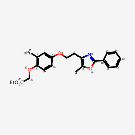 CCCc1cc(OCCc2nc(-c3ccccc3)oc2C)ccc1OCC(=O)OCC